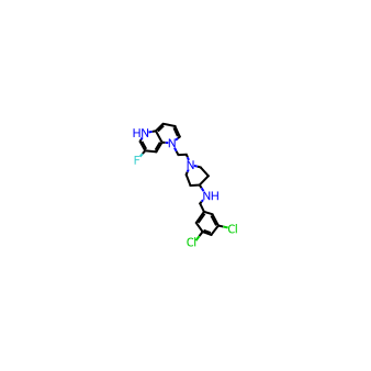 FC1=CNC2=CC=CN(CCN3CCC(NCc4cc(Cl)cc(Cl)c4)CC3)C2=C1